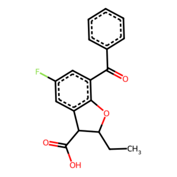 CCC1Oc2c(C(=O)c3ccccc3)cc(F)cc2C1C(=O)O